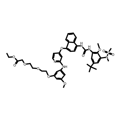 CCOC(=O)COCCOCCOc1cc(Nc2cc(Oc3ccc(NC(=O)Nc4cc(C(C)(C)C)cc(N(C)S(C)(=O)=O)c4OC)c4ccccc34)ccn2)cc(OC)c1